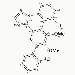 COc1c(-c2ccccc2Cl)cc(-c2ncc[nH]2)c(-c2ccccc2Cl)c1OC